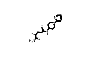 C[C@@H](C[CH]C(=O)NC1CCN(c2ccccn2)CC1)C(N)=O